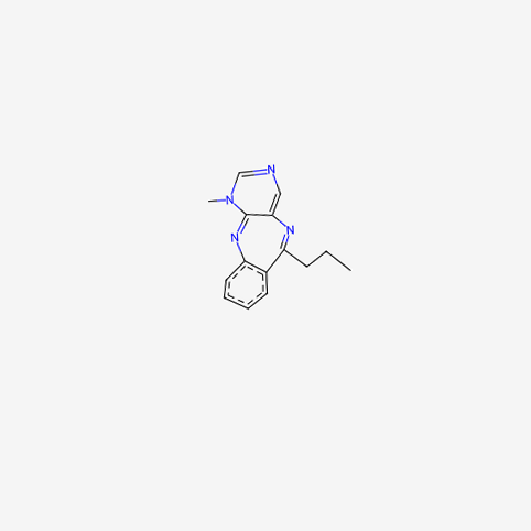 CCCC1=NC2=CN=CN(C)C2=Nc2ccccc21